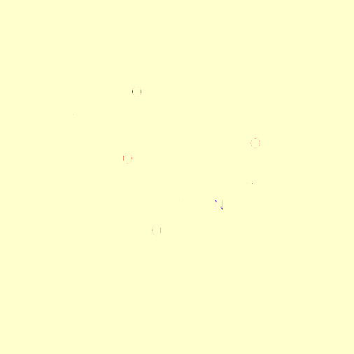 C=C(C)C(=O)OCC(=O)N1C(=O)C2CCCC21